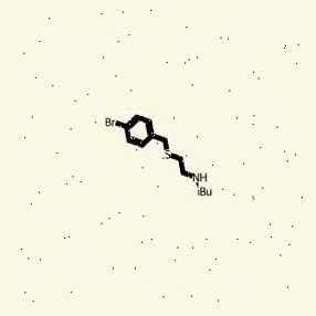 CC[C@@H](C)NCCSCc1ccc(Br)cc1